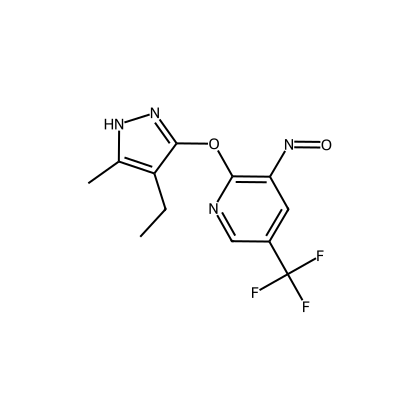 CCc1c(Oc2ncc(C(F)(F)F)cc2N=O)n[nH]c1C